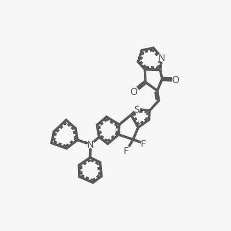 O=C1/C(=C\c2cc3c(s2)-c2ccc(N(c4ccccc4)c4ccccc4)cc2C3(F)F)C(=O)c2ncccc21